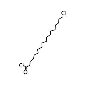 O=C(Cl)CCCCCCCCCCCCCCCCCCl